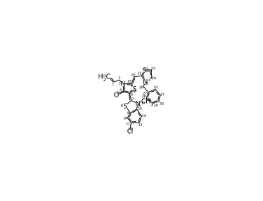 C=CCn1c(=O)/c(=C2\Sc3cc(Cl)ccc3N2C)s/c1=C\c1scc[n+]1Cc1ccccc1